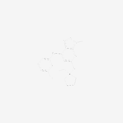 CCn1cnc2c(Nc3cccc(Cl)c3)nc(NC3(CO)CCCC3)nc21